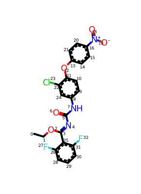 CCOC(=NC(=O)Nc1ccc(Oc2ccc([N+](=O)[O-])cc2)c(Cl)c1)c1c(F)cccc1F